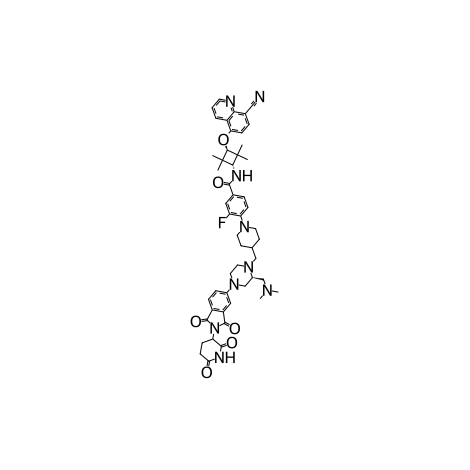 CN(C)C[C@H]1CN(c2ccc3c(c2)C(=O)N(C2CCC(=O)NC2=O)C3=O)CCN1CC1CCN(c2ccc(C(=O)N[C@H]3C(C)(C)[C@H](Oc4ccc(C#N)c5ncccc45)C3(C)C)cc2F)CC1